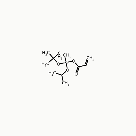 C=CC(=O)O[Si](C)(OC(C)C)OC(C)(C)C